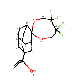 C=C(O)C12CC3CC(C1)C1(OCC(F)(F)C(F)(F)CO1)C(C3)C2